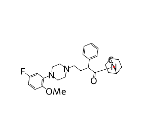 COc1ccc(F)cc1N1CCN(CCC(C(=O)N2CC3CCC(CC3)C2)c2ccccc2)CC1